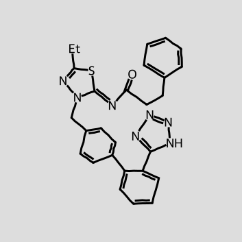 CCc1nn(Cc2ccc(-c3ccccc3-c3nnn[nH]3)cc2)c(=NC(=O)CCc2ccccc2)s1